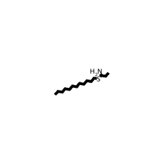 CCCCCCCCCCCCSC(N)CC